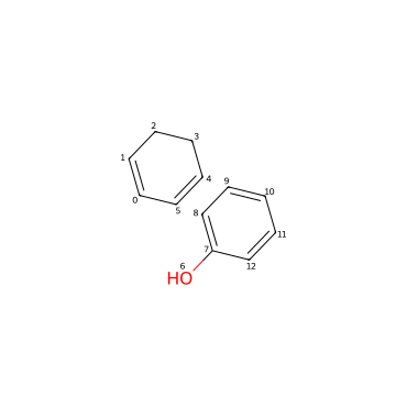 C1=CCCC=C1.Oc1ccccc1